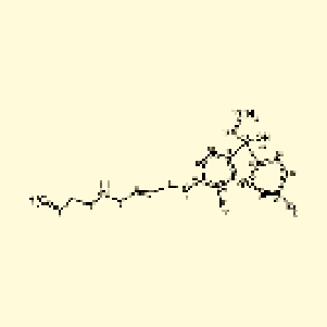 C=CCCNCC=CCOc1ccc(C(O)(C=C)c2ccc(Br)cc2)cc1F